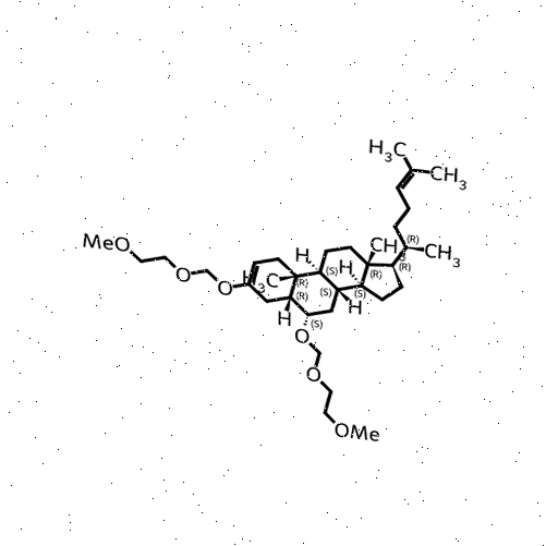 COCCOCOC1=CC[C@]2(C)[C@H]3CC[C@]4(C)[C@@H]([C@H](C)CCC=C(C)C)CC[C@H]4[C@@H]3C[C@H](OCOCCOC)[C@@H]2C1